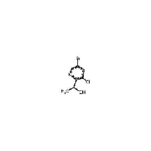 CC(O)c1ncc(Br)cc1Cl